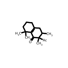 CC(=O)C1(C)C(=O)C2=C(CCCC2(C)C)CC1C